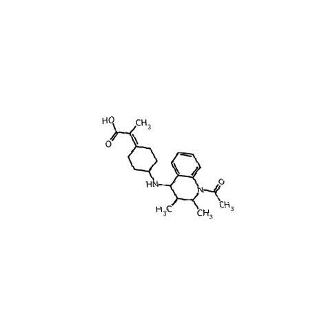 CC(=O)N1c2ccccc2C(NC2CCC(=C(C)C(=O)O)CC2)C(C)C1C